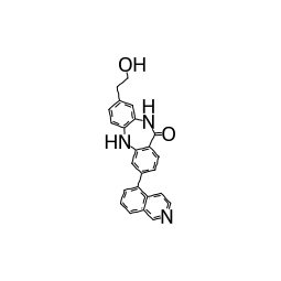 O=C1Nc2cc(CCO)ccc2Nc2cc(-c3cccc4cnccc34)ccc21